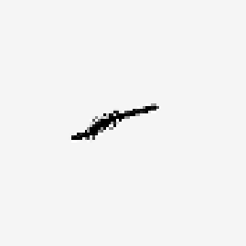 CCCCCCCCCCCCCCCCCCOCCC(=O)Oc1ccc(OC(=O)c2ccc(OCCCCCCCC)cc2)cc1